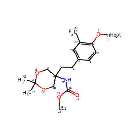 CCCCCCCOc1ccc(CCC2(NC(=O)OC(C)(C)C)COC(C)(C)OC2)cc1C(F)(F)F